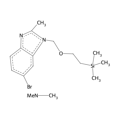 CNC.Cc1nc2ccc(Br)cc2n1COCC[Si](C)(C)C